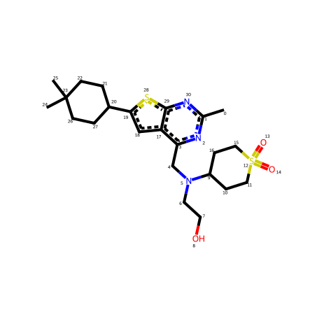 Cc1nc(CN(CCO)C2CCS(=O)(=O)CC2)c2cc(C3CCC(C)(C)CC3)sc2n1